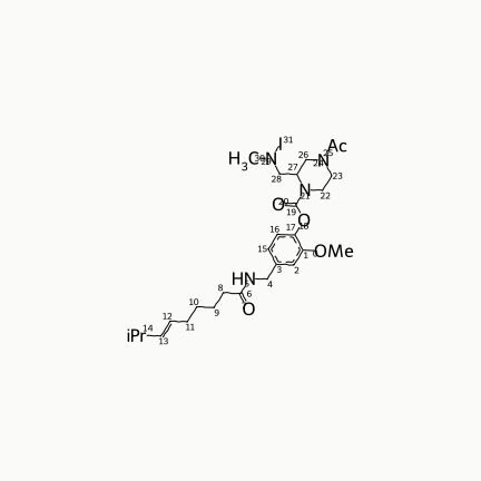 COc1cc(CNC(=O)CCCC/C=C/C(C)C)ccc1OC(=O)N1CCN(C(C)=O)CC1CN(C)I